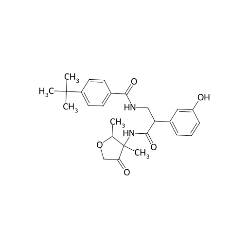 CC1OCC(=O)C1(C)NC(=O)C(CNC(=O)c1ccc(C(C)(C)C)cc1)c1cccc(O)c1